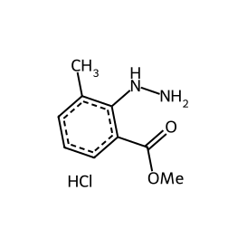 COC(=O)c1cccc(C)c1NN.Cl